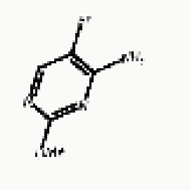 COc1ncc(Br)c(N)n1